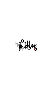 O=C(Nc1ccc2cc1CCc1cccc(c1)Nc1ncc(Cl)c(n1)N2)[C@@H]1CCN(C(=O)c2ccccc2)C1